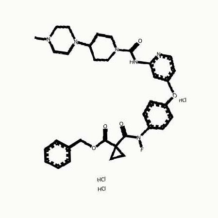 CN1CCN(C2CCN(C(=O)Nc3cc(Oc4ccc(N(F)C(=O)C5(C(=O)OCc6ccccc6)CC5)cc4)ccn3)CC2)CC1.Cl.Cl.Cl